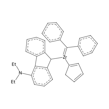 CCN(CC)c1cccc2c1-c1ccccc1[CH]2[Zr]([C]1=CC=CC1)=[C](c1ccccc1)c1ccccc1